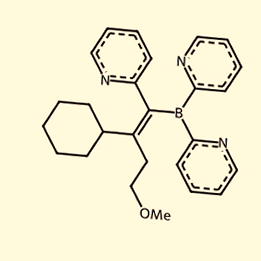 COCC/C(=C(\B(c1ccccn1)c1ccccn1)c1ccccn1)C1CCCCC1